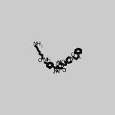 C[C@H](CC(=O)N1CCC(O)(Cn2cnc3c(-c4ccc(CNC(=O)CCCCCCN)cc4)n(C)nc3c2=O)CC1)c1ccccc1